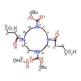 CC(C)(C)OC(=O)N1CCN(C(=O)CCC(=O)O)CCN(C(=O)OC(C)(C)C)CCN(C(=O)CCC(=O)O)CC1.O=CO